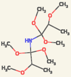 COC(C)C(NC(OC)(OC)C(C)OC)(OC)OC